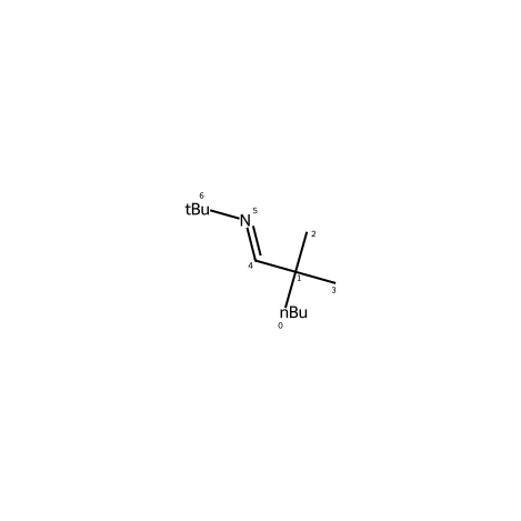 CCCCC(C)(C)C=NC(C)(C)C